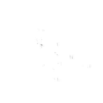 CCOC(=O)C1=C(C)N(CCN(CCO)C2CCCCC2)C(C)=C(C(=O)OCC)C1c1ccccc1C(F)(F)F